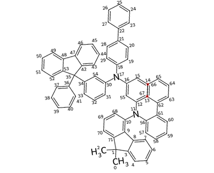 CC1(C)c2ccccc2-c2c(N(c3cccc(N(c4ccc(-c5ccccc5)cc4)c4cccc(C5(c6ccccc6)c6ccccc6-c6ccccc65)c4)c3)c3ccccc3-c3ccccc3)cccc21